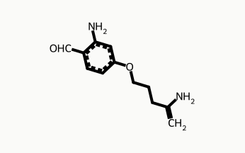 C=C(N)CCCOc1ccc(C=O)c(N)c1